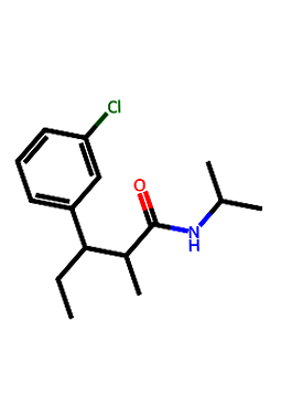 CCC(c1cccc(Cl)c1)C(C)C(=O)NC(C)C